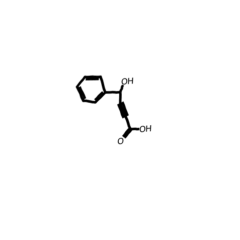 O=C(O)C#CC(O)c1ccccc1